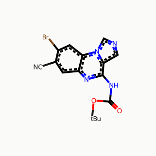 CC(C)(C)OC(=O)Nc1nc2cc(C#N)c(Br)cc2n2cncc12